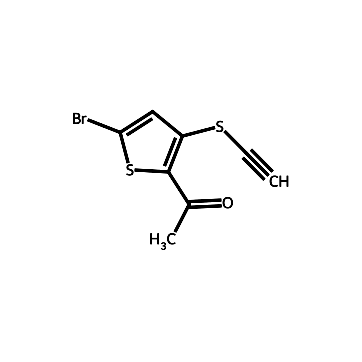 C#CSc1cc(Br)sc1C(C)=O